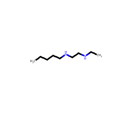 [CH2]CCCCNCCNCC